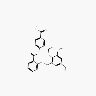 CCOC(=O)NC(=N)c1ccc(NC(=O)c2ccccc2NCc2cc(CO)cc(OC(C)C)c2OCC(=O)O)cc1